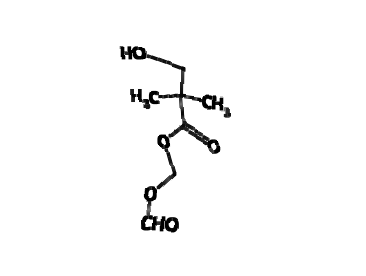 CC(C)(CO)C(=O)OCOC=O